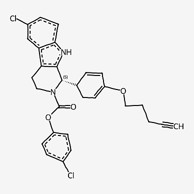 C#CCCCOC1=CCC([C@H]2c3[nH]c4ccc(Cl)cc4c3CCN2C(=O)Oc2ccc(Cl)cc2)C=C1